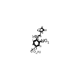 O=C(O)COc1ccc(NC[C@@H]2CCO2)c([N+](=O)[O-])c1